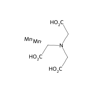 O=C(O)CN(CC(=O)O)CC(=O)O.[Mn].[Mn]